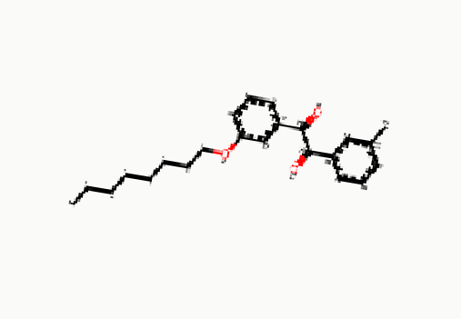 CCCCCCCCOc1cccc(C(=O)C(=O)c2cccc(C)c2)c1